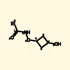 CCC(=O)NOC1CC(O)C1